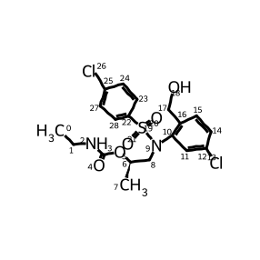 CCNC(=O)O[C@H](C)CN(c1cc(Cl)ccc1CO)S(=O)(=O)c1ccc(Cl)cc1